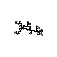 CCO[Si](CCCNC(=O)CCC(C)(C)C#N)(OCC)OCC